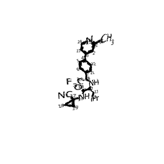 Cc1cc(-c2ccc([C@H](N[C@@H](CC(C)C)C(=O)NC3(C#N)CC3)C(F)(F)F)cc2)ccn1